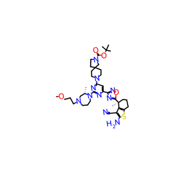 COCCCN1CCCN(c2nc(-c3noc([C@@]4(C)CCCc5sc(N)c(C#N)c54)n3)cc(N3CCC4(CCN(C(=O)OC(C)(C)C)C4)CC3)n2)[C@@H](C)C1